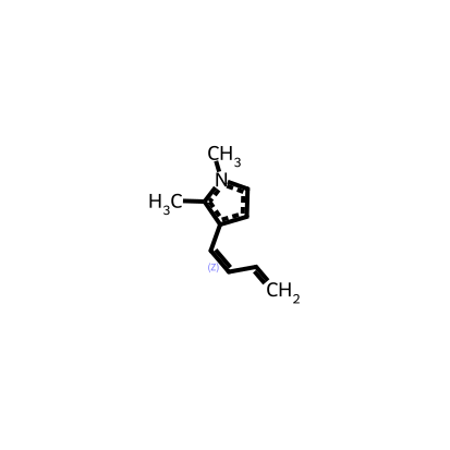 C=C/C=C\c1ccn(C)c1C